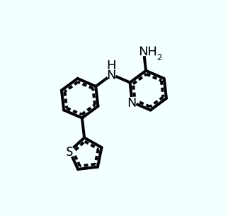 Nc1cccnc1Nc1cccc(-c2cccs2)c1